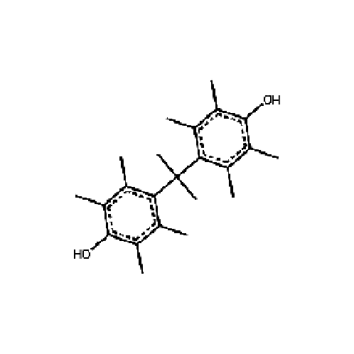 Cc1c(C)c(C(C)(C)c2c(C)c(C)c(O)c(C)c2C)c(C)c(C)c1O